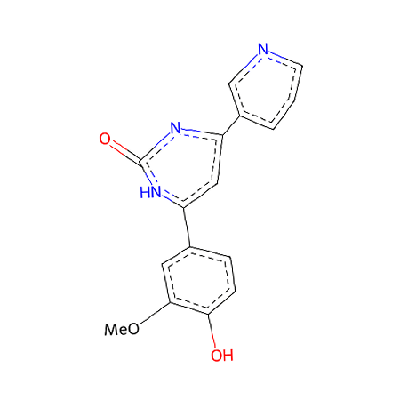 COc1cc(-c2cc(-c3cccnc3)nc(=O)[nH]2)ccc1O